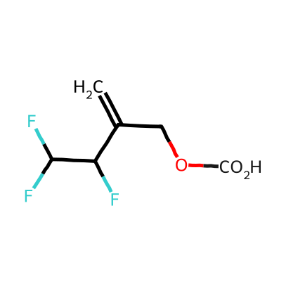 C=C(COC(=O)O)C(F)C(F)F